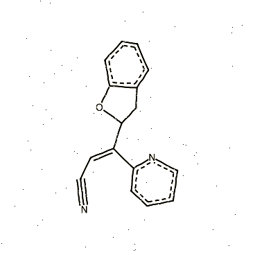 N#CC=C(c1ccccn1)C1Cc2ccccc2O1